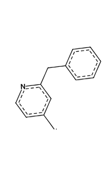 [CH2]c1ccnc(Cc2ccccc2)c1